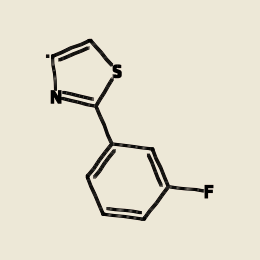 Fc1cccc(-c2n[c]cs2)c1